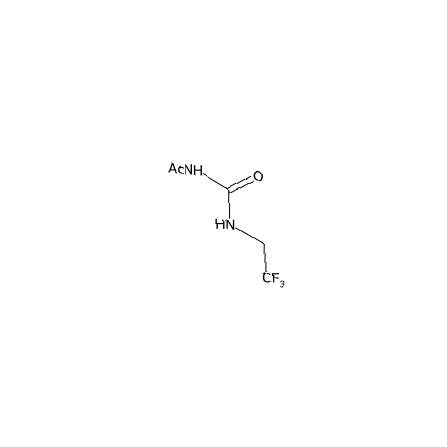 CC(=O)NC(=O)NCC(F)(F)F